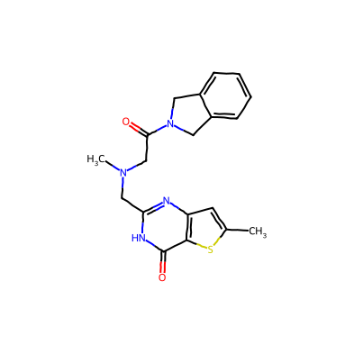 Cc1cc2nc(CN(C)CC(=O)N3Cc4ccccc4C3)[nH]c(=O)c2s1